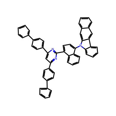 c1ccc(-c2ccc(-c3cc(-c4ccc(-c5ccccc5)cc4)nc(-c4ccc(-n5c6ccccc6c6cc7ccccc7cc65)c5ccccc45)n3)cc2)cc1